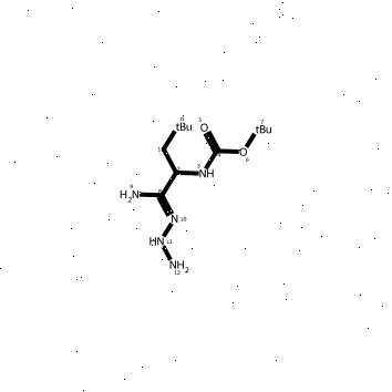 CC(C)(C)CC(NC(=O)OC(C)(C)C)/C(N)=N/NN